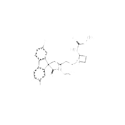 CC(C)(C)OC(=O)NC1CCN1CCCCC1(C(=O)NCC(F)(F)F)c2cc(F)ccc2-c2ccc(F)cc21